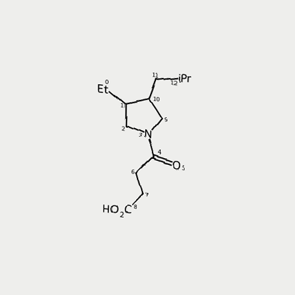 CCC1CN(C(=O)CCC(=O)O)CC1CC(C)C